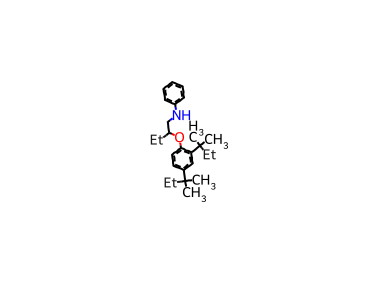 CCC(CNc1ccccc1)Oc1ccc(C(C)(C)CC)cc1C(C)(C)CC